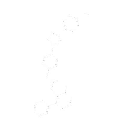 CCc1cccc(-c2ccccc2)c1NC(=O)Nc1ccc(-c2ncn(-c3ccc(OC(F)(F)F)cc3)n2)cc1